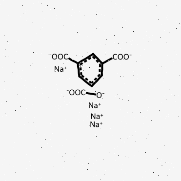 O=C([O-])[O-].O=C([O-])c1cccc(C(=O)[O-])c1.[Na+].[Na+].[Na+].[Na+]